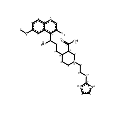 COc1ccc2ncc(F)c(C(O)CCC3CCN(CCSc4nccs4)CC3C(=O)O)c2c1